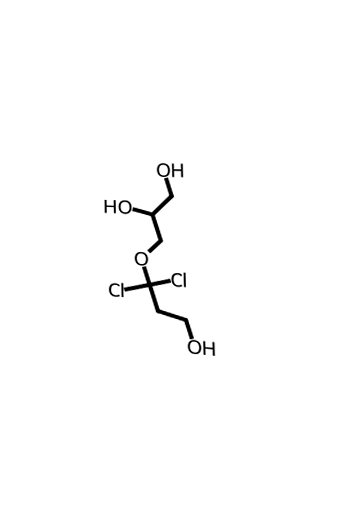 OCCC(Cl)(Cl)OCC(O)CO